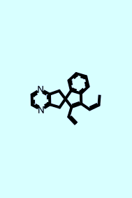 C=CC1=C(/C=C\C)c2ccccc2C12Cc1nccnc1C2